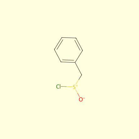 [O-][S+](Cl)Cc1ccccc1